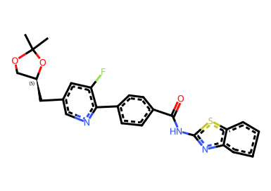 CC1(C)OC[C@H](Cc2cnc(-c3ccc(C(=O)Nc4nc5ccccc5s4)cc3)c(F)c2)O1